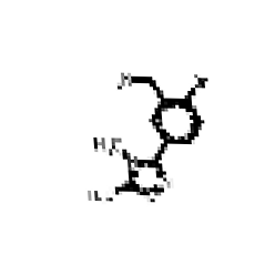 Cc1nnc(-c2ccc(Br)c(CN)c2)n1C